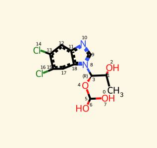 CC(O)[C@@H](OC(O)O)n1cnc2cc(Cl)c(Cl)cc21